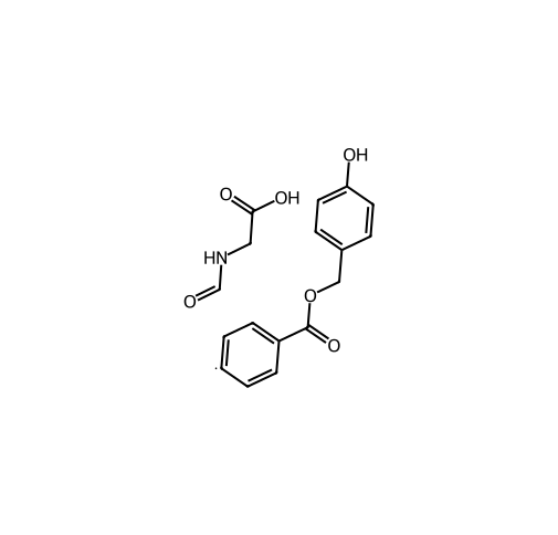 O=C(OCc1ccc(O)cc1)c1cc[c]cc1.O=CNCC(=O)O